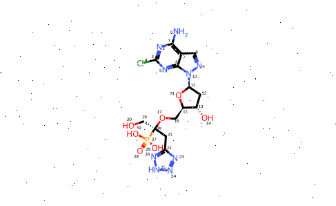 Nc1nc(Cl)nc2c1cnn2[C@H]1C[C@H](O)[C@@H](CO[C@@](CO)(Cc2nn[nH]n2)P(=O)(O)O)O1